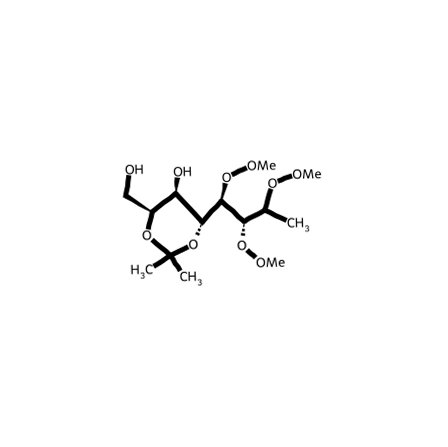 COOC(C)[C@H](OOC)[C@H](OOC)[C@@H]1OC(C)(C)O[C@@H](CO)[C@H]1O